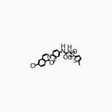 Cc1ccc(S(=O)(=O)NC(=O)Nc2ccc(-n3ccc4cc(Cl)ccc4c3=O)c(F)c2)s1